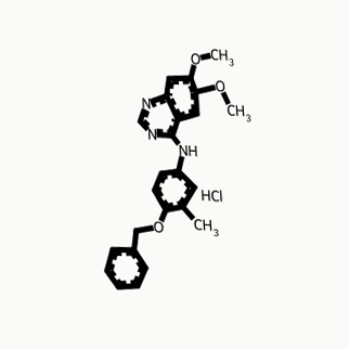 COc1cc2ncnc(Nc3ccc(OCc4ccccc4)c(C)c3)c2cc1OC.Cl